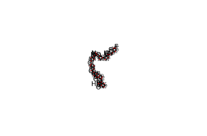 O=C(CN1CCC(OC2CCN(c3cc(Oc4cccc(C5CCCN(C(=O)CNCc6ccc(F)cc6F)C5)c4)cnn3)CC2)CC1)N1CCN(C(=O)c2cc(Cc3n[nH]c(=O)c4ccccc34)ccc2F)CC1